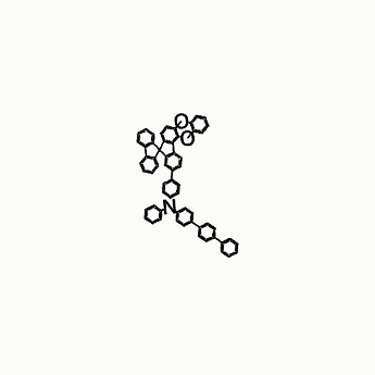 c1ccc(-c2ccc(-c3ccc(N(c4ccccc4)c4ccc(-c5ccc6c(c5)C5(c7ccccc7-c7ccccc75)c5ccc7c(c5-6)Oc5ccccc5O7)cc4)cc3)cc2)cc1